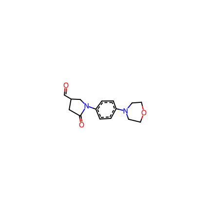 O=CC1CC(=O)N(c2ccc(N3CCOCC3)cc2)C1